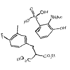 CC(=O)Nc1c(O)cccc1[As](=O)(O)O.CCOC(=O)C(Cc1ccc(F)c(C)c1)C(=O)OCC